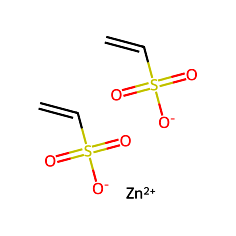 C=CS(=O)(=O)[O-].C=CS(=O)(=O)[O-].[Zn+2]